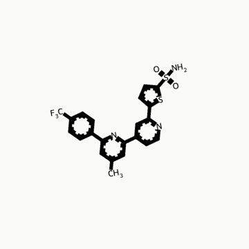 Cc1cc(-c2ccc(C(F)(F)F)cc2)nc(-c2ccnc(-c3ccc(S(N)(=O)=O)s3)c2)c1